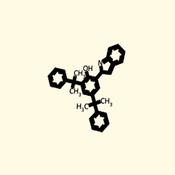 CC(C)(c1ccccc1)c1cc(C2C=c3ccccc3=N2)c(O)c(C(C)(C)c2ccccc2)c1